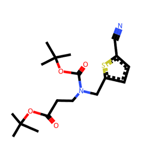 CC(C)(C)OC(=O)CCN(Cc1ccc(C#N)s1)C(=O)OC(C)(C)C